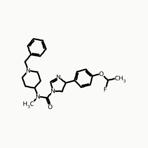 CC(F)Oc1ccc(C2CN(C(=O)N(C)C3CCN(Cc4ccccc4)CC3)C=N2)cc1